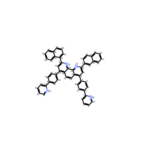 c1ccc(-c2ccc(-c3cc(-c4ccc5ccccc5c4)nc4c3ccc3c(-c5ccc(-c6ccccn6)cc5)cc(-c5cccc6ccccc56)nc34)cc2)nc1